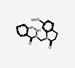 CCCNN(CN1C(=O)CCc2ccc(OC)cc21)C(=O)c1ccccc1